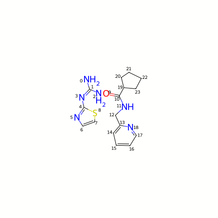 NC(N)=Nc1nccs1.O=C(NCc1ccccn1)C1CCCC1